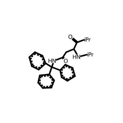 CC(C)NC(CC(=O)NC(c1ccccc1)(c1ccccc1)c1ccccc1)C(=O)C(C)C